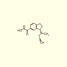 C#CCN(C)[C@@H]1CCc2ccc(C(=O)NO)cc21